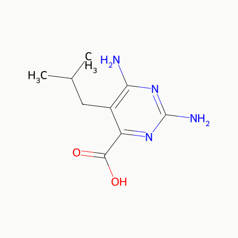 CC(C)Cc1c(N)nc(N)nc1C(=O)O